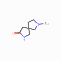 CC(C)(C)N1CCC2(CNC(=O)C2)C1